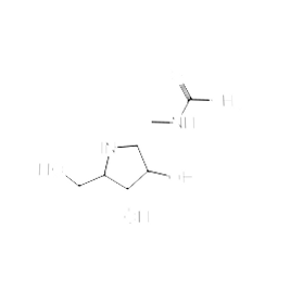 CC(=O)NC[C@H]1NC(CO)[C@@H](O)C1O